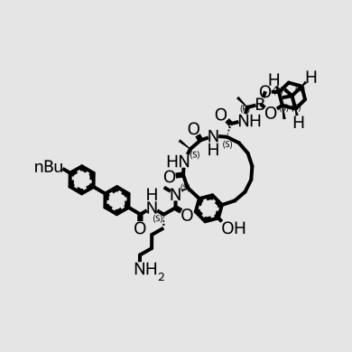 CCCCc1ccc(-c2ccc(C(=O)N[C@@H](CCCCN)C(=O)N(C)[C@@H]3C(=O)N[C@@H](C)C(=O)N[C@H](C(=O)N[C@@H](C)B4O[C@@H]5C[C@@H]6C[C@@H](C6(C)C)[C@]5(C)O4)CCCCCCc4cc3ccc4O)cc2)cc1